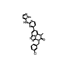 CN1C(=O)N(Cc2cccc(Cl)c2)c2nnc3cc(-c4ccnc(Nc5ccnn5C)n4)cc1n23